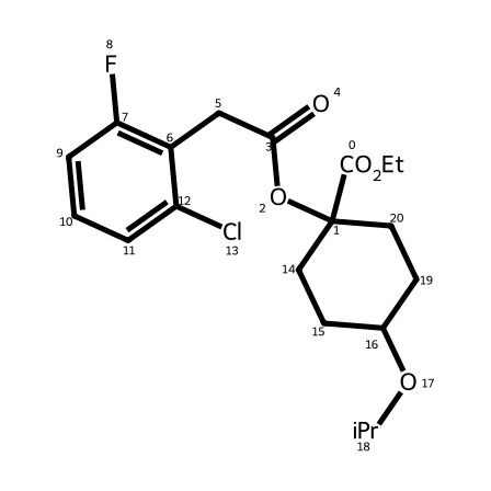 CCOC(=O)C1(OC(=O)Cc2c(F)cccc2Cl)CCC(OC(C)C)CC1